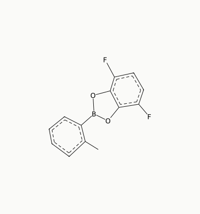 Cc1ccccc1B1Oc2c(F)ccc(F)c2O1